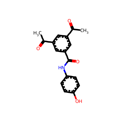 CC(=O)c1cc(C(C)=O)cc(C(=O)Nc2ccc(O)cc2)c1